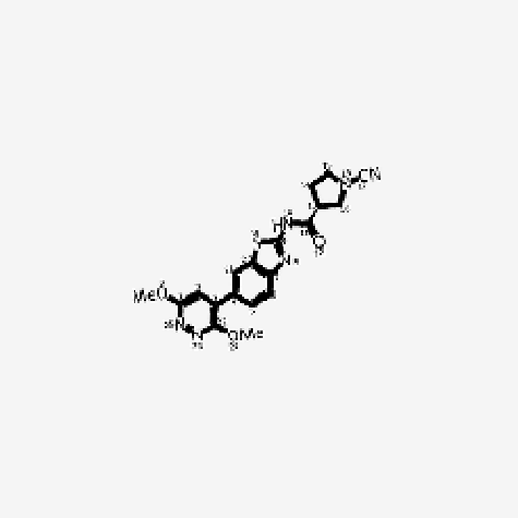 COc1cc(-c2ccc3nc(NC(=O)[C@H]4CCN(C#N)C4)sc3c2)c(OC)nn1